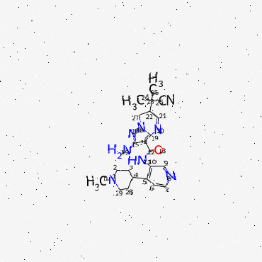 CN1CCC(c2ccncc2NC(=O)c2c(N)nn3c2N=CC(C(C)(C)C#N)C3)CC1